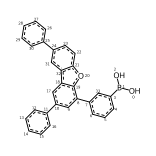 OB(O)c1cccc(-c2cc(-c3ccccc3)cc3c2oc2ccc(-c4ccccc4)cc23)c1